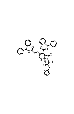 O=C(Cc1cccs1)N[C@@H]1C(=O)N2C(C(=O)OC(c3ccccc3)c3ccccc3)=C(/C=C/C(=O)OC(c3ccccc3)c3ccccc3)CS[C@H]12